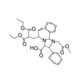 C=CC(CC(C(=O)OCC)C(=O)OCC)N1C(C(=O)O)C(c2ccccc2)N(CC(=O)OC)C1c1ccccc1